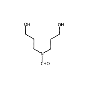 O=CN(CCCO)CCCO